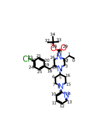 CC[C@H]1CN(C2CCN(c3ccccn3)CC2)[C@@H](Cc2ccc(Cl)cc2)CN1C(=O)OC(C)(C)C